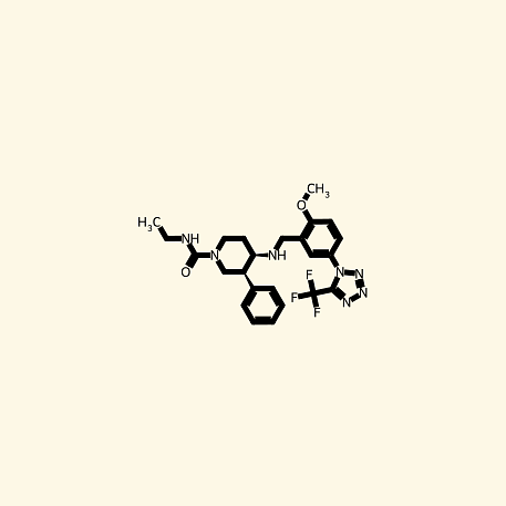 CCNC(=O)N1CC[C@@H](NCc2cc(-n3nnnc3C(F)(F)F)ccc2OC)[C@@H](c2ccccc2)C1